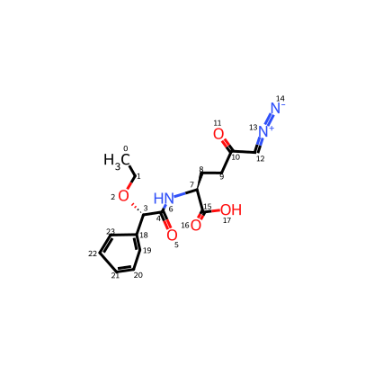 CCO[C@H](C(=O)N[C@@H](CCC(=O)C=[N+]=[N-])C(=O)O)c1ccccc1